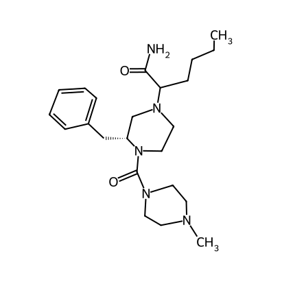 CCCCC(C(N)=O)N1CCN(C(=O)N2CCN(C)CC2)[C@H](Cc2ccccc2)C1